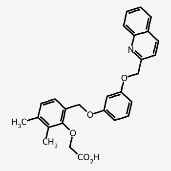 Cc1ccc(COc2cccc(OCc3ccc4ccccc4n3)c2)c(OCC(=O)O)c1C